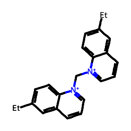 CCc1ccc2c(ccc[n+]2C[n+]2cccc3cc(CC)ccc32)c1